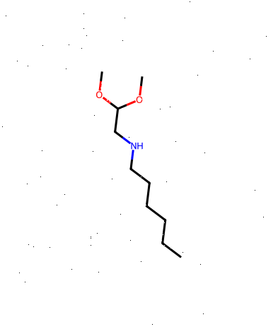 CCCCCCNCC(OC)OC